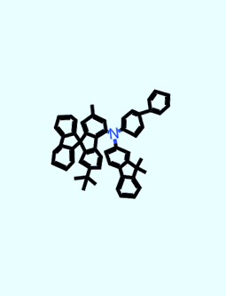 Cc1cc(N(c2ccc(-c3ccccc3)cc2)c2ccc3c(c2)C(C)(C)c2ccccc2-3)c2c(c1)C1(c3ccccc3-c3ccccc31)c1cc(C(C)(C)C)ccc1-2